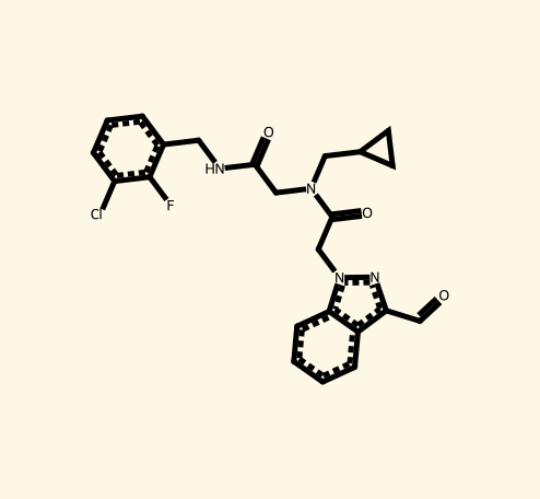 O=Cc1nn(CC(=O)N(CC(=O)NCc2cccc(Cl)c2F)CC2CC2)c2ccccc12